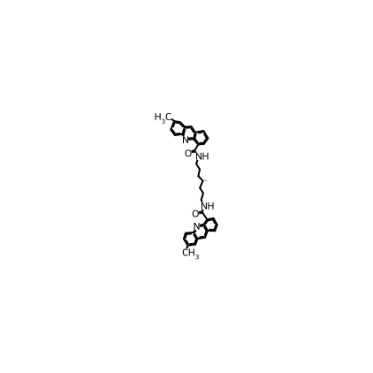 Cc1ccc2nc3c(C(=O)NCCC[CH]CCCNC(=O)c4cccc5cc6cc(C)ccc6nc45)cccc3cc2c1